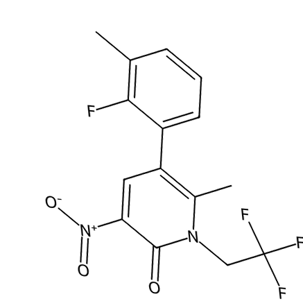 Cc1cccc(-c2cc([N+](=O)[O-])c(=O)n(CC(F)(F)F)c2C)c1F